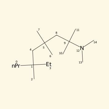 CCCC(C)(CC)CC(C)(C)CC(C)(C)N(C)C